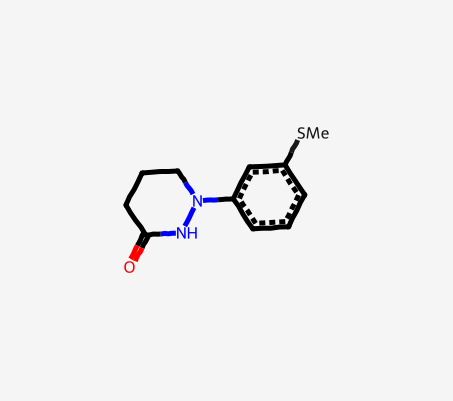 CSc1cccc(N2CCCC(=O)N2)c1